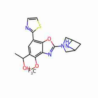 CC(O)c1cc(-c2nccs2)c2oc(N3CC4CC(C3)N4)nc2c1OC(F)(F)F